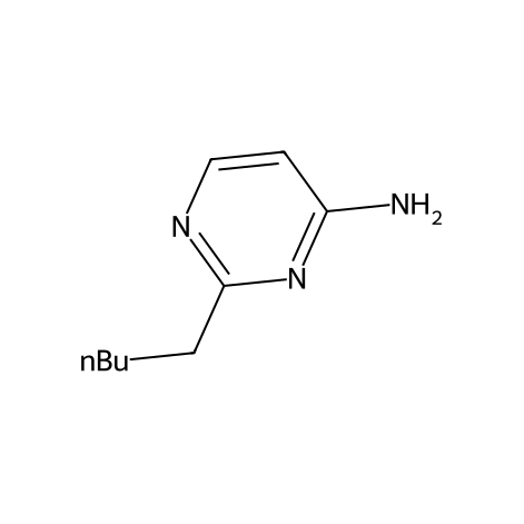 CCCCCc1nccc(N)n1